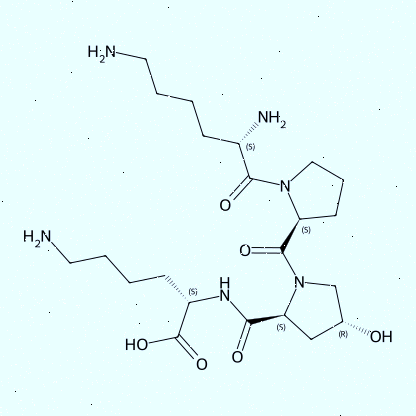 NCCCC[C@H](NC(=O)[C@@H]1C[C@@H](O)CN1C(=O)[C@@H]1CCCN1C(=O)[C@@H](N)CCCCN)C(=O)O